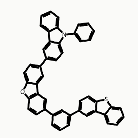 c1ccc(-n2c3ccccc3c3cc(-c4ccc5oc6ccc(-c7cccc(-c8ccc9sc%10ccccc%10c9c8)c7)cc6c5c4)ccc32)cc1